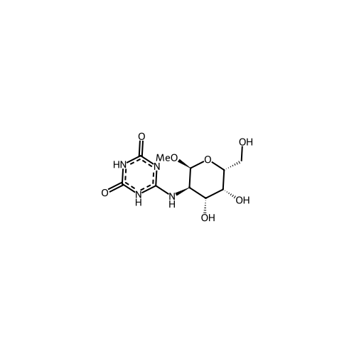 CO[C@H]1O[C@H](CO)[C@H](O)[C@H](O)[C@H]1Nc1nc(=O)[nH]c(=O)[nH]1